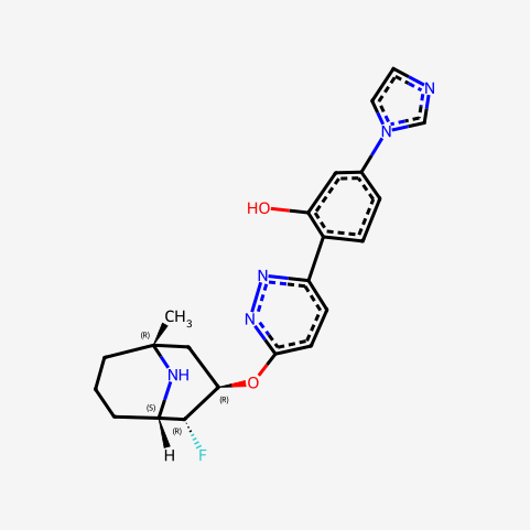 C[C@]12CCC[C@H](N1)[C@@H](F)[C@H](Oc1ccc(-c3ccc(-n4ccnc4)cc3O)nn1)C2